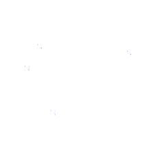 Cc1cccnc1C(C)c1ccc(F)c(-c2ncnc3cc(N4CCOCC4)ccc23)c1